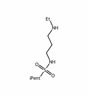 CCCC(C)S(=O)(=O)NCCCNCC